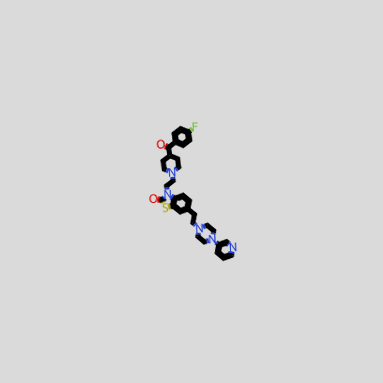 O=C(c1ccc(F)cc1)C1CCN(CCn2c(=O)sc3cc(CCN4CCN(c5cccnc5)CC4)ccc32)CC1